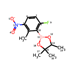 Cc1c([N+](=O)[O-])ccc(F)c1B1OC(C)C(C)(C)O1